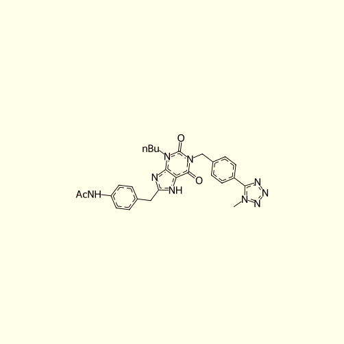 CCCCn1c(=O)n(Cc2ccc(-c3nnnn3C)cc2)c(=O)c2[nH]c(Cc3ccc(NC(C)=O)cc3)nc21